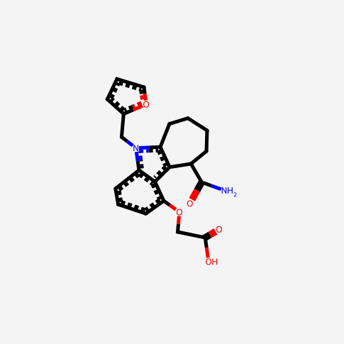 NC(=O)C1CCCCc2c1c1c(OCC(=O)O)cccc1n2Cc1ccco1